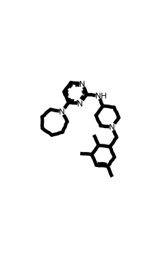 CC1=CC(C)C(C)C(CN2CCC(Nc3nccc(N4CCCCCC4)n3)CC2)C1